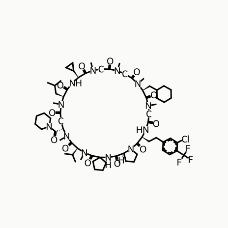 CC(C)C[C@H]1C(=O)N[C@@H](C2CC2)C(=O)N(C)CC(=O)N(C)CC(=O)N(C)[C@@H](CC2CCCCC2)C(=O)N(C)CC(=O)N[C@@H](CCc2ccc(C(F)(F)F)c(Cl)c2)C(=O)N2CCC[C@H]2C(=O)NC2(CCCC2)C(=O)N(C)[C@@H](C(C)C)C(=O)N(C)[C@H](C(=O)N2CCCCC2)CC(=O)N1C